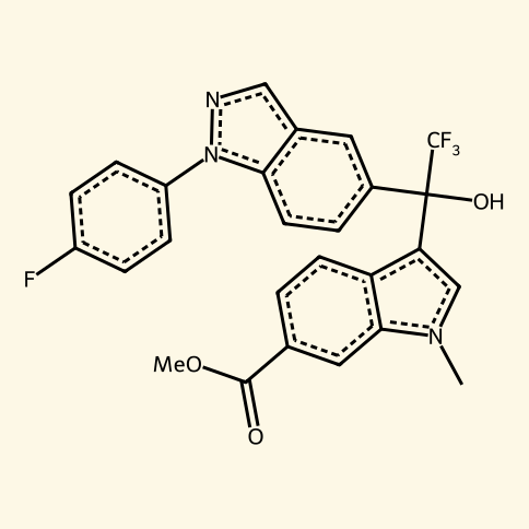 COC(=O)c1ccc2c(C(O)(c3ccc4c(cnn4-c4ccc(F)cc4)c3)C(F)(F)F)cn(C)c2c1